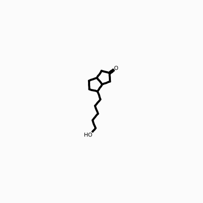 O=C1CC2CCC(CCCCCO)C2C1